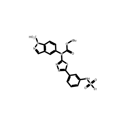 CCS(=O)(=O)Nc1cccc(-c2nnc(N(C(=O)OC(C)(C)C)c3ccc4c(cnn4C(=O)O)c3)s2)c1